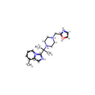 Cc1cccn2c(C(C)(C)N3CCN(Cc4ncco4)CC3)ncc12